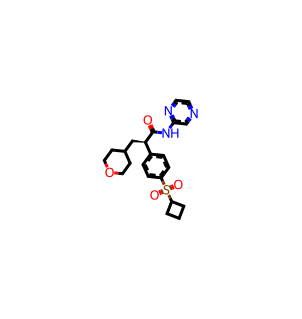 O=C(Nc1cnccn1)[C@H](CC1CCOCC1)c1ccc(S(=O)(=O)C2CCC2)cc1